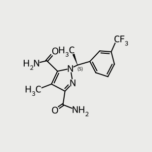 Cc1c(C(N)=O)nn([C@@H](C)c2cccc(C(F)(F)F)c2)c1C(N)=O